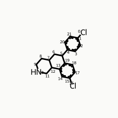 Clc1ccc(C2CC3CCNCC3c3cc(Cl)ccc32)cc1